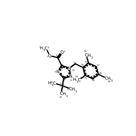 COC(=O)c1nc(C(C)(C)C)nn1Cc1c(C)cc(C)cc1C